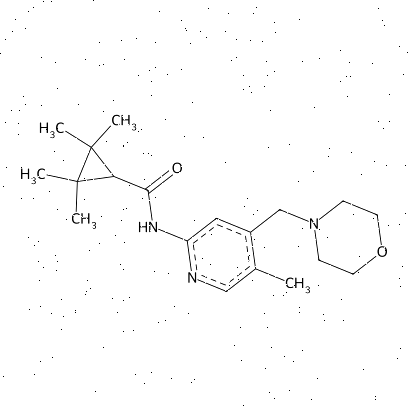 Cc1cnc(NC(=O)C2C(C)(C)C2(C)C)cc1CN1CCOCC1